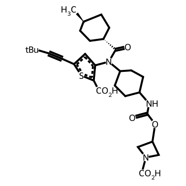 CC(C)(C)C#Cc1cc(N(C(=O)[C@H]2CC[C@H](C)CC2)C2CCC(NC(=O)OC3CN(C(=O)O)C3)CC2)c(C(=O)O)s1